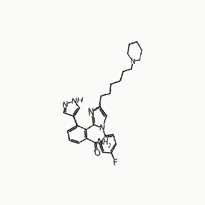 NC(=O)c1cccc(-c2cn[nH]c2)c1-c1nc(CCCCCCN2CCCCC2)cn1-c1ccc(F)cc1